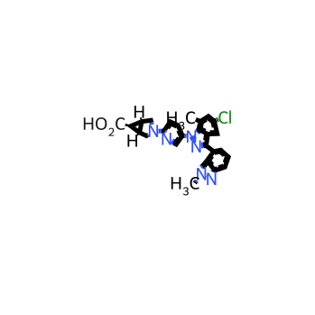 Cc1cc(Cl)cc2c(-c3cccc4nn(C)cc34)nn(-c3ccc(N4C[C@@H]5[C@H](C4)[C@@H]5C(=O)O)nc3)c12